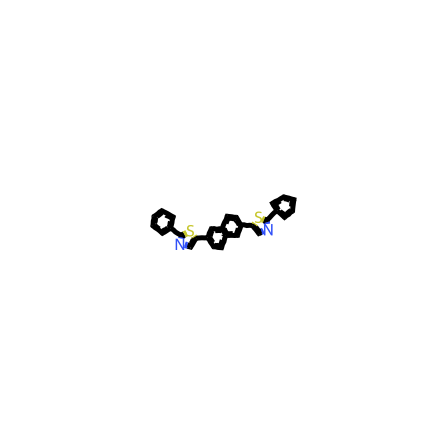 c1ccc(-c2ncc(-c3ccc4cc(-c5cnc(-c6ccccc6)s5)ccc4c3)s2)cc1